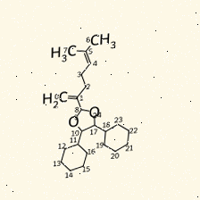 C=C(CCC=C(C)C)C1OC(C2CCCCC2)C(C2CCCCC2)O1